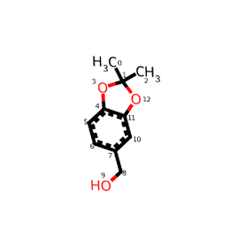 CC1(C)Oc2ccc(CO)cc2O1